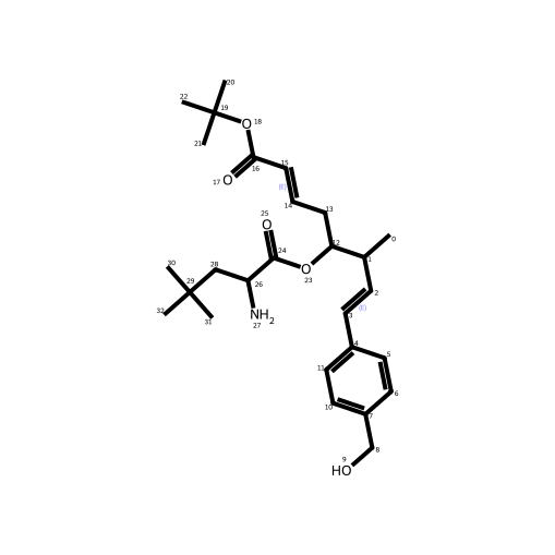 CC(/C=C/c1ccc(CO)cc1)C(C/C=C/C(=O)OC(C)(C)C)OC(=O)C(N)CC(C)(C)C